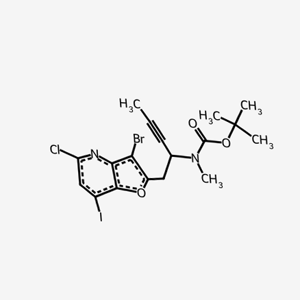 CC#CC(Cc1oc2c(I)cc(Cl)nc2c1Br)N(C)C(=O)OC(C)(C)C